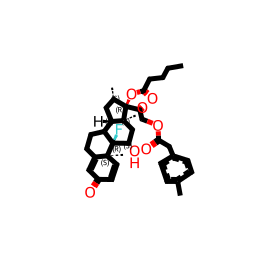 CCCCC(=O)O[C@]1(C(=O)COC(=O)Cc2ccc(C)cc2)[C@@H](C)C[C@H]2C3CCC4=CC(=O)C=C[C@]4(C)[C@@]3(F)[C@@H](O)C[C@@]21C